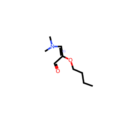 CCCCO/C(C=O)=C/N(C)C